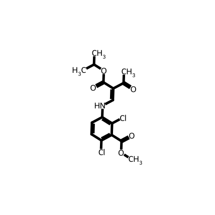 COC(=O)c1c(Cl)ccc(NC=C(C(C)=O)C(=O)OC(C)C)c1Cl